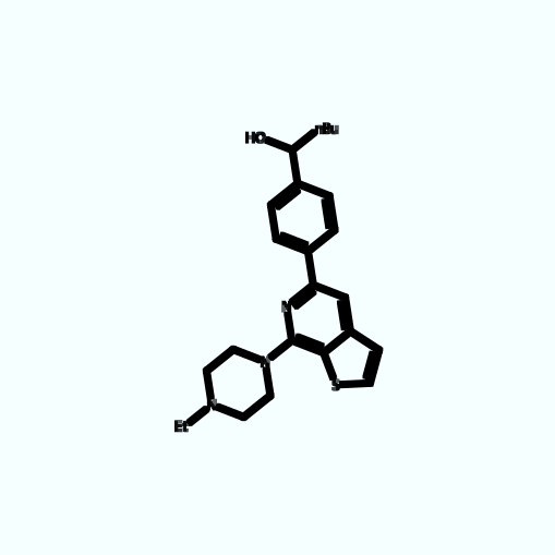 CCCCC(O)c1ccc(-c2cc3ccsc3c(N3CCN(CC)CC3)n2)cc1